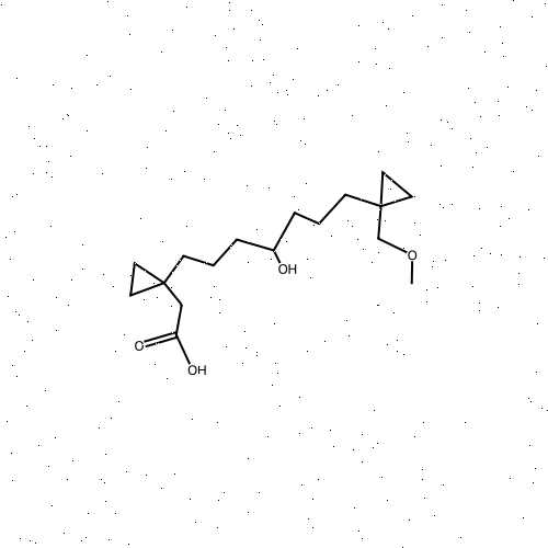 COCC1(CCCC(O)CCCC2(CC(=O)O)CC2)CC1